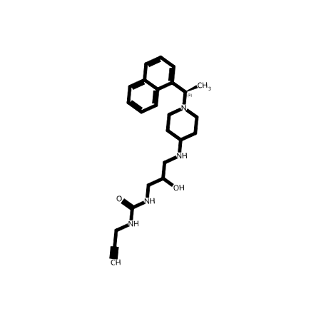 C#CCNC(=O)NCC(O)CNC1CCN([C@H](C)c2cccc3ccccc23)CC1